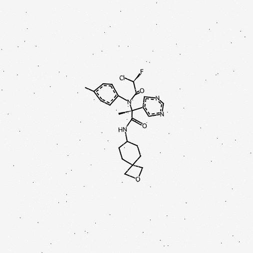 Cc1ccc(N(C(=O)[C@H](F)Cl)[C@@](C)(C(=O)NC2CCC3(CC2)COC3)c2cncnc2)cc1